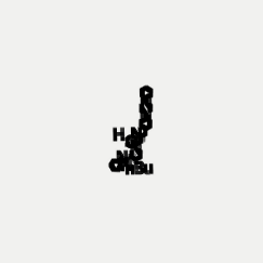 CCCCn1c([C@@H]2CCCN(C(=O)C[C@H](N)Cc3ccc(N4CCN(c5ccccc5)CC4)cc3)C2)nc2ccccc21